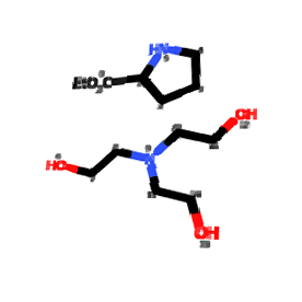 CCOC(=O)C1CCCN1.OCCN(CCO)CCO